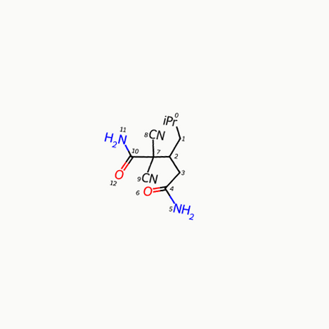 CC(C)CC(CC(N)=O)C(C#N)(C#N)C(N)=O